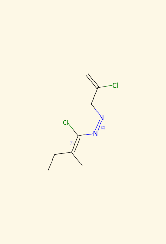 C=C(Cl)C/N=N\C(Cl)=C(/C)CC